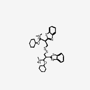 C[SiH](C)C(OC1CCCCC1)C(CSSCC(c1nc2ccccc2s1)C(OC1CCCCC1)[SiH](C)C)c1nc2ccccc2s1